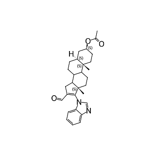 CC(=O)O[C@H]1CC[C@]2(C)C3CC[C@]4(C)C(n5cnc6ccccc65)=C(C=O)CC4C3CC[C@H]2C1